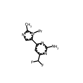 Cc1ncc(-c2cc(C(F)F)nc(N)n2)n1C(C)C